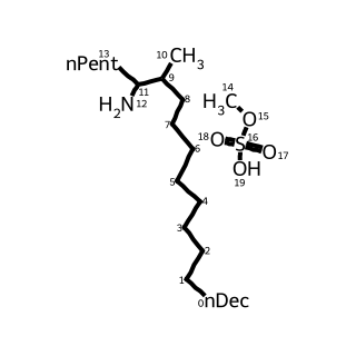 CCCCCCCCCCCCCCCCCCC(C)C(N)CCCCC.COS(=O)(=O)O